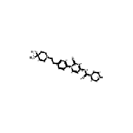 CC1(N)CCN(CCc2ccc(-n3ccc(NC(=O)N4CCNCC4)nc3=O)cc2)CC1